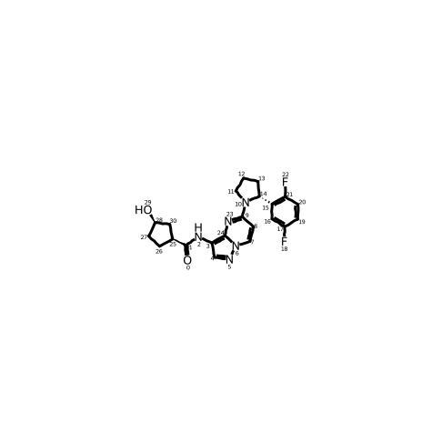 O=C(Nc1cnn2ccc(N3CCC[C@@H]3c3cc(F)ccc3F)nc12)[C@H]1CC[C@@H](O)C1